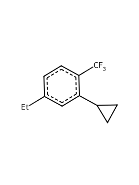 CCc1ccc(C(F)(F)F)c(C2CC2)c1